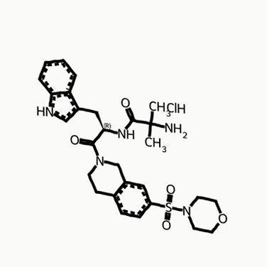 CC(C)(N)C(=O)N[C@H](Cc1c[nH]c2ccccc12)C(=O)N1CCc2ccc(S(=O)(=O)N3CCOCC3)cc2C1.Cl